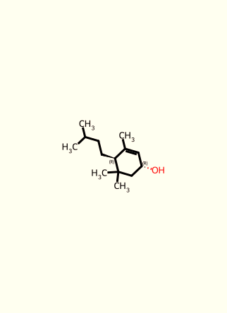 CC1=C[C@H](O)CC(C)(C)[C@H]1CCC(C)C